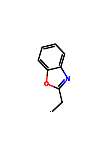 [CH2]Cc1nc2ccccc2o1